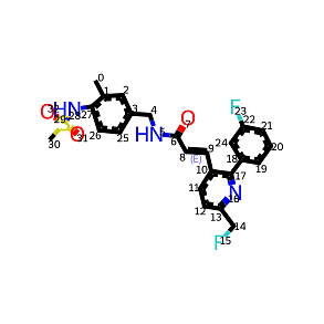 Cc1cc(CNC(=O)/C=C/c2ccc(CF)nc2-c2cccc(F)c2)ccc1NS(C)(=O)=O